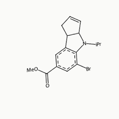 COC(=O)c1cc(Br)c2c(c1)C1CC=CC1N2C(C)C